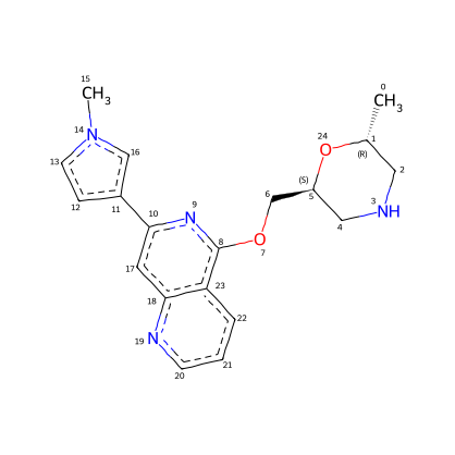 C[C@@H]1CNC[C@@H](COc2nc(-c3ccn(C)c3)cc3ncccc23)O1